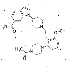 COc1cccc(N2CCN(C(C)=O)CC2)c1CCN1CCC(n2ccc3ccc(C(N)=O)cc32)CC1